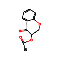 CCC(=O)OC1COc2ccccc2C1=O